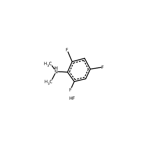 C[SiH](C)c1c(F)cc(F)cc1F.F